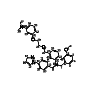 COc1cccc(CN(Cc2ccc(-n3cccn3)cc2)c2cccc(COCCOc3cccc(N(C)C)c3)c2)c1